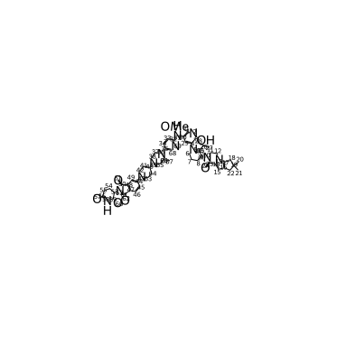 COc1ncc(N2CCC[C@@H](N3CCn4c(cc5c4CC(C)(C)C5)C3=O)[C@@H]2C(C)O)cc1Nc1ccc(N2CCN(C3CCN(c4ccc5c(c4)C(=O)N(C4CCC(=O)NC4=O)C5=O)CC3)C[C@@H]2C)cn1